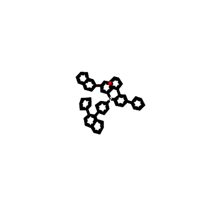 c1ccc(-c2ccc(N(c3ccc(-c4c(-c5ccccc5)ccc5ccccc45)cc3)c3cccc(-c4ccc5ccccc5c4)c3)c(-c3ccccc3)c2)cc1